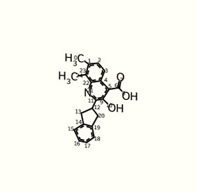 Cc1ccc2c(C(=O)O)c(O)c(C3Cc4ccccc4C3)nc2c1C